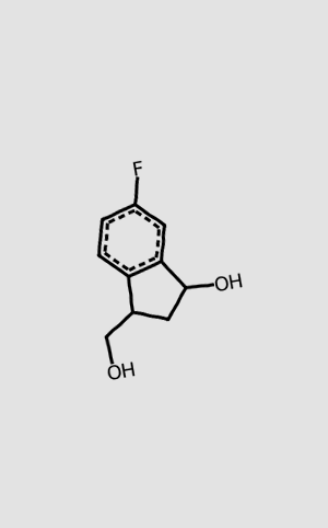 OCC1CC(O)c2cc(F)ccc21